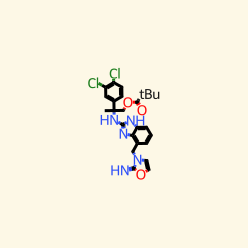 CC(C)(C)C(=O)OCC(C)(Nc1nc2c(Cn3ccoc3=N)cccc2[nH]1)c1ccc(Cl)c(Cl)c1